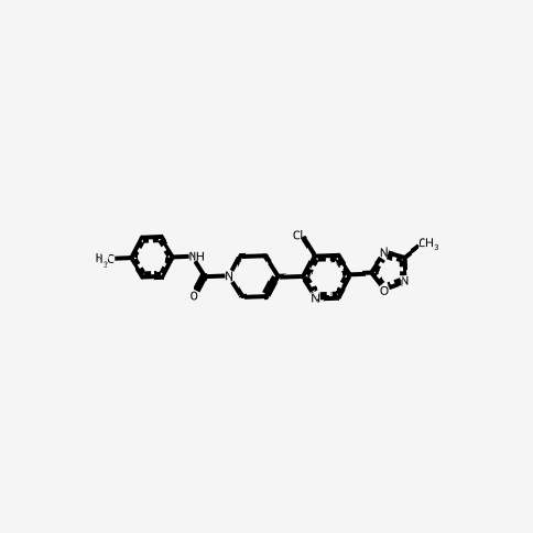 Cc1ccc(NC(=O)N2CC=C(c3ncc(-c4nc(C)no4)cc3Cl)CC2)cc1